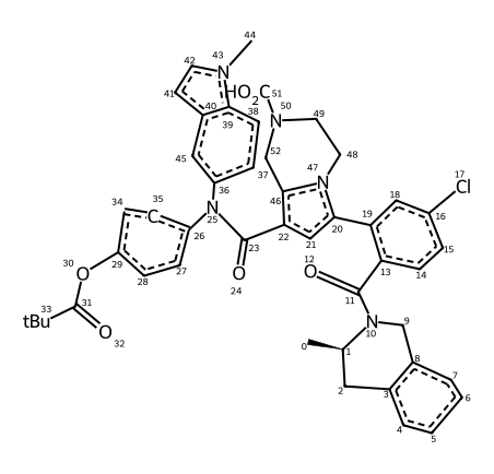 C[C@@H]1Cc2ccccc2CN1C(=O)c1ccc(Cl)cc1-c1cc(C(=O)N(c2ccc(OC(=O)C(C)(C)C)cc2)c2ccc3c(ccn3C)c2)c2n1CCN(C(=O)O)C2